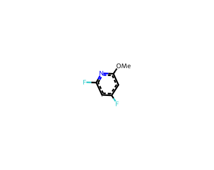 COc1cc(F)[c]c(F)n1